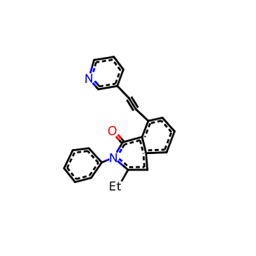 CCc1cc2cccc(C#Cc3cccnc3)c2c(=O)n1-c1ccccc1